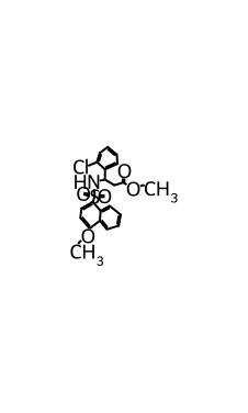 CCOC(=O)CC(NS(=O)(=O)c1ccc(OCC)c2ccccc12)c1ccccc1Cl